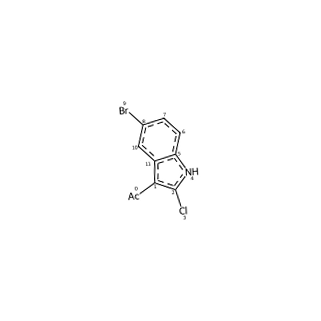 CC(=O)c1c(Cl)[nH]c2ccc(Br)cc12